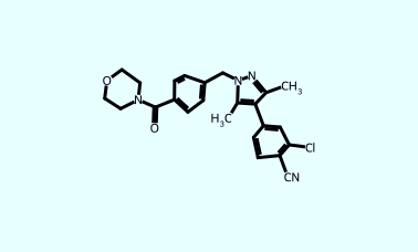 Cc1nn(Cc2ccc(C(=O)N3CCOCC3)cc2)c(C)c1-c1ccc(C#N)c(Cl)c1